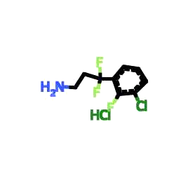 Cl.NCCC(F)(F)c1cccc(Cl)c1F